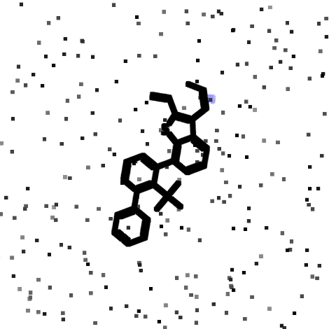 C=Cc1sc2c(-c3cccc(-c4ccccc4)c3C(C)(C)C)cccc2c1/C=C\C